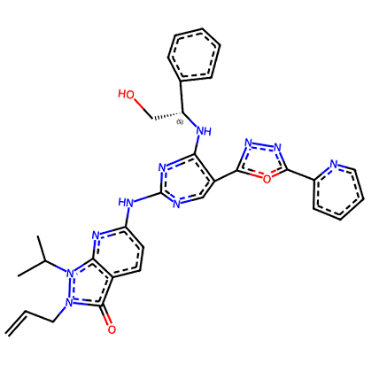 C=CCn1c(=O)c2ccc(Nc3ncc(-c4nnc(-c5ccccn5)o4)c(N[C@H](CO)c4ccccc4)n3)nc2n1C(C)C